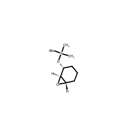 CC(C)(C)[Si](C)(C)O[C@@H]1CCC[C@@H]2O[C@H]21